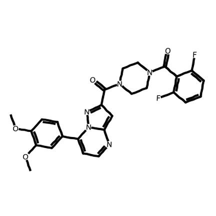 COc1ccc(-c2ccnc3cc(C(=O)N4CCN(C(=O)c5c(F)cccc5F)CC4)nn23)cc1OC